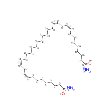 NC(=O)CCCCCCC/C=C\C/C=C\CCCCCCCCCCC/C=C\C/C=C\CCCCCCCC(N)=O